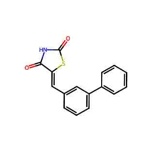 O=C1NC(=O)C(=Cc2cccc(-c3ccccc3)c2)S1